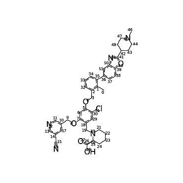 Cc1c(COc2cc(OCc3cncc(C#N)c3)c(CN3CCCC[C@H]3C(=O)O)cc2Cl)cccc1-c1ccc2oc(C3CCN(C)CC3)nc2c1